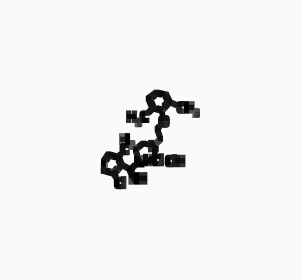 Cc1cccc(C)c1OCCN1CCN(C(=N)c2c(C)cccc2Cl)CC1.Cl.Cl